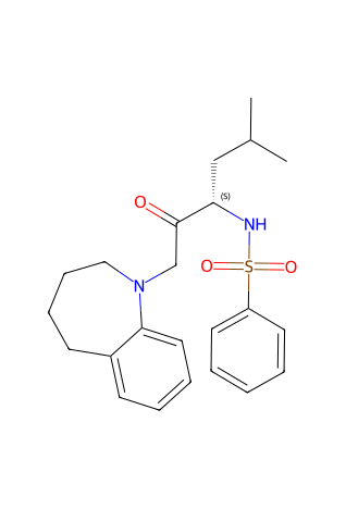 CC(C)C[C@H](NS(=O)(=O)c1ccccc1)C(=O)CN1CCCCc2ccccc21